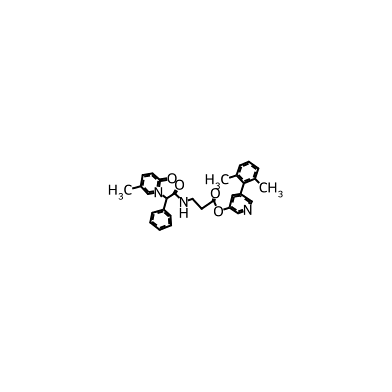 Cc1ccc(=O)n(C(C(=O)NCCC(=O)Oc2cncc(-c3c(C)cccc3C)c2)c2ccccc2)c1